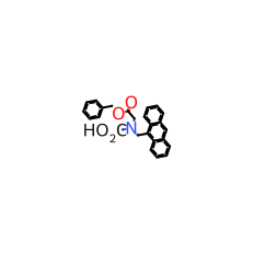 O=C(CN(Cc1c2ccccc2cc2ccccc12)C(=O)O)OCc1ccccc1